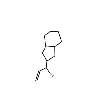 O=CC(Br)C1CC2CCCCC2C1